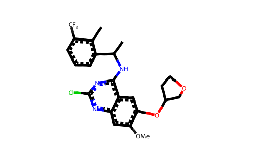 COc1cc2nc(Cl)nc(NC(C)c3cccc(C(F)(F)F)c3C)c2cc1OC1CCOC1